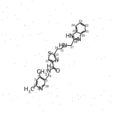 Cc1cc(C)c(CNC(=O)c2csc(CCNCc3nc4ccccc4[nH]3)n2)cn1